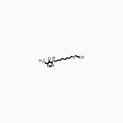 C#CCSCCCCCCCCNc1ncnc(CC)c1Cl